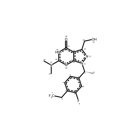 C[C@H](c1ccc(CC(F)(F)F)c(F)c1)n1nc(CO)c2c(=O)[nH]c(N(C)C)nc21